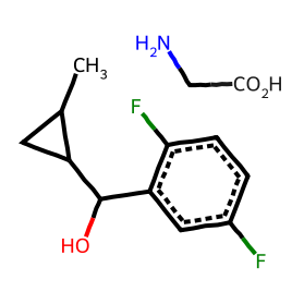 CC1CC1C(O)c1cc(F)ccc1F.NCC(=O)O